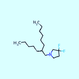 CCCCCCC(CCCCC)CN1CCC(F)(F)C1